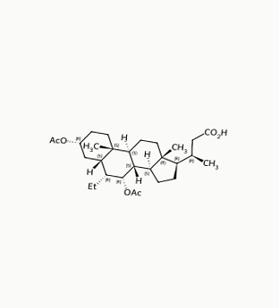 CC[C@H]1[C@@H](OC(C)=O)[C@@H]2[C@H](CC[C@]3(C)[C@@H]([C@H](C)CC(=O)O)CC[C@@H]23)[C@@]2(C)CC[C@@H](OC(C)=O)C[C@@H]12